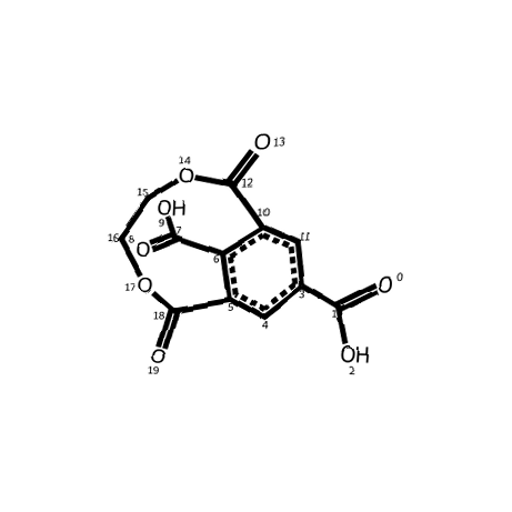 O=C(O)c1cc2c(C(=O)O)c(c1)C(=O)OCCOC2=O